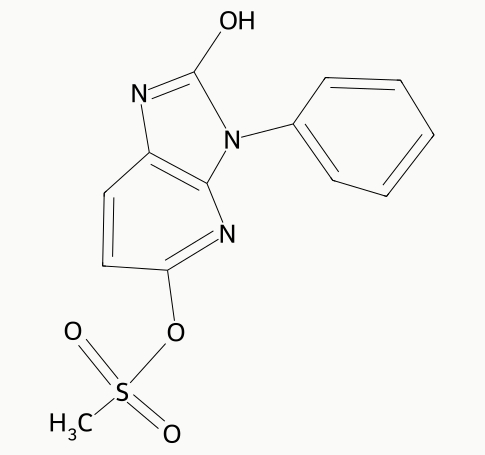 CS(=O)(=O)Oc1ccc2nc(O)n(-c3ccccc3)c2n1